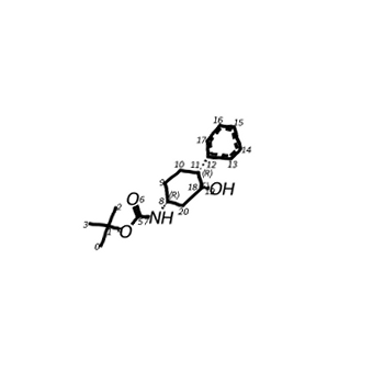 CC(C)(C)OC(=O)N[C@@H]1CC[C@H](c2ccccc2)[C@@H](O)C1